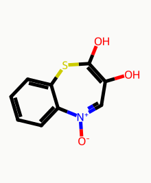 [O-][N+]1=CC(O)=C(O)Sc2ccccc21